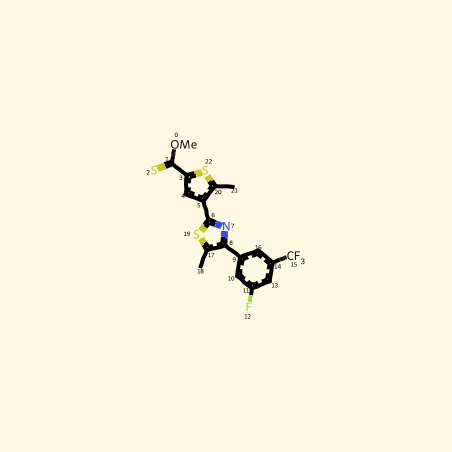 COC(=S)c1cc(-c2nc(-c3cc(F)cc(C(F)(F)F)c3)c(C)s2)c(C)s1